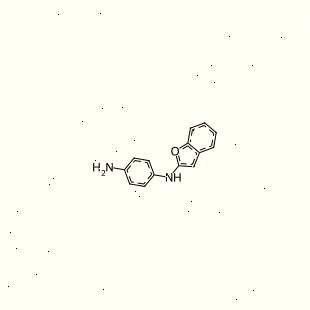 Nc1ccc(Nc2cc3ccccc3o2)cc1